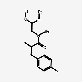 CCOC(CN(C(=O)C(C)Cc1ccc(F)cc1)C(C)C)OCC